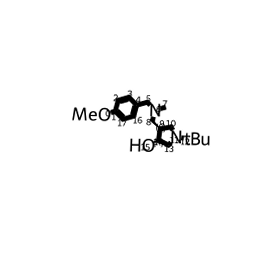 COc1ccc(CN(C)C[C@H]2CN(C(C)(C)C)C[C@@H]2O)cc1